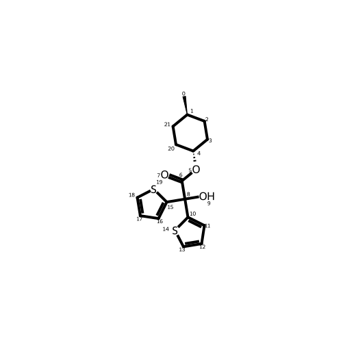 C[C@H]1CC[C@H](OC(=O)C(O)(c2cccs2)c2cccs2)CC1